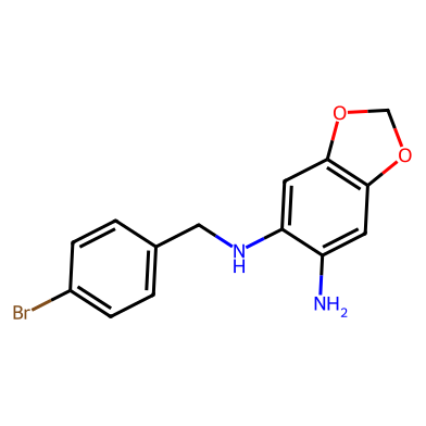 Nc1cc2c(cc1NCc1ccc(Br)cc1)OCO2